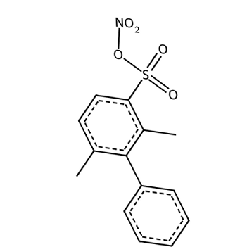 Cc1ccc(S(=O)(=O)O[N+](=O)[O-])c(C)c1-c1ccccc1